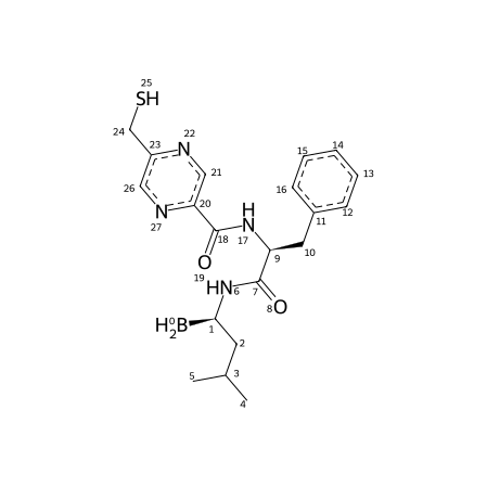 B[C@H](CC(C)C)NC(=O)[C@H](Cc1ccccc1)NC(=O)c1cnc(CS)cn1